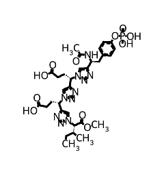 CCC(C)[C@@H](C(=O)OC)n1cc([C@H](CCC(=O)O)n2cc([C@H](CCC(=O)O)n3cc([C@H](Cc4ccc(OP(=O)(O)O)cc4)NC(C)=O)nn3)nn2)nn1